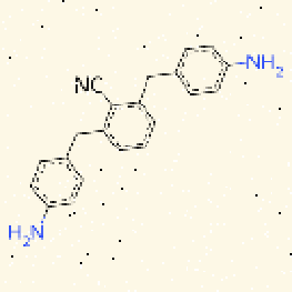 N#Cc1c(Cc2ccc(N)cc2)cccc1Cc1ccc(N)cc1